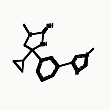 CN1CC(c2cccc(-c3cn(C)cn3)c2)(C2CC2)NC1=N